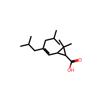 CC(C)CC(=CC1C(C(=O)O)C1(C)C)CC(C)C